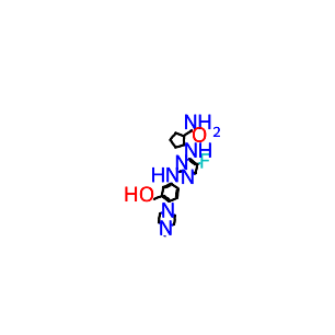 CN1CCN(c2ccc(Nc3ncc(F)c(NC4CCCC4C(N)=O)n3)cc2CO)CC1